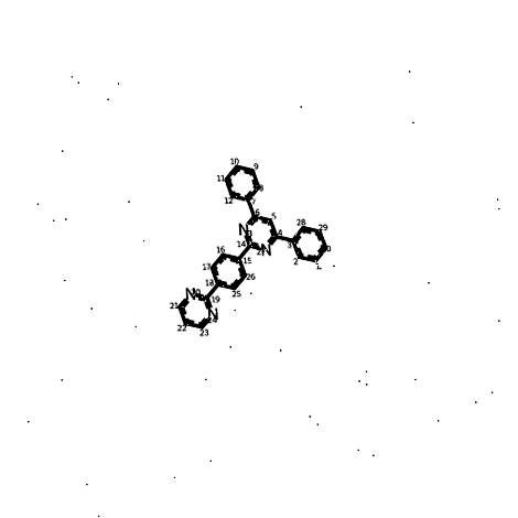 c1ccc(-c2cc(-c3ccccc3)nc(-c3ccc(-c4ncccn4)cc3)n2)cc1